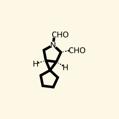 O=C[C@@H]1[C@@H]2[C@H](CN1C=O)C21CCCC1